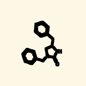 O=C1NC(Cc2ccccc2)CN1Cc1ccccc1